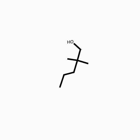 CCCC(C)(C)[CH]O